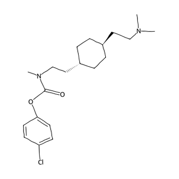 CN(C)CC[C@H]1CC[C@H](CCN(C)C(=O)Oc2ccc(Cl)cc2)CC1